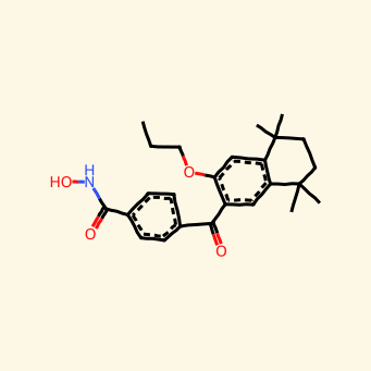 CCCOc1cc2c(cc1C(=O)c1ccc(C(=O)NO)cc1)C(C)(C)CCC2(C)C